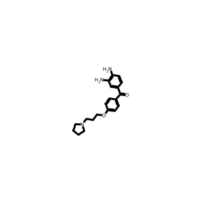 Nc1ccc(C(=O)c2ccc(OCCCN3CCCC3)cc2)cc1N